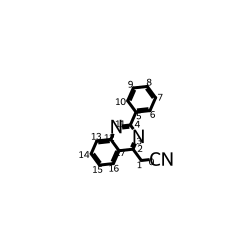 N#CCc1nc(-c2ccccc2)nc2ccccc12